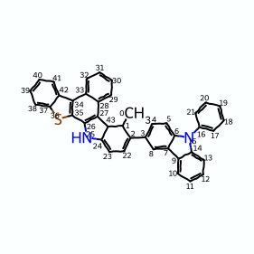 CC1C(c2ccc3c(c2)c2ccccc2n3-c2ccccc2)=CC=C2Nc3c(c4ccccc4c4c3sc3ccccc34)C21